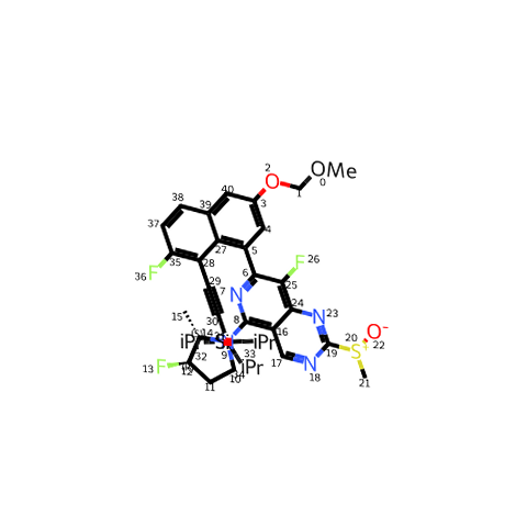 COCOc1cc(-c2nc(N3CC[C@@H](F)[C@@H]3C)c3cnc([S+](C)[O-])nc3c2F)c2c(C#C[Si](C(C)C)(C(C)C)C(C)C)c(F)ccc2c1